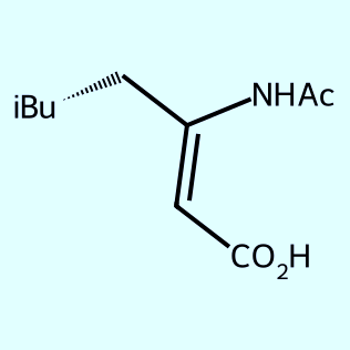 CC[C@@H](C)CC(=CC(=O)O)NC(C)=O